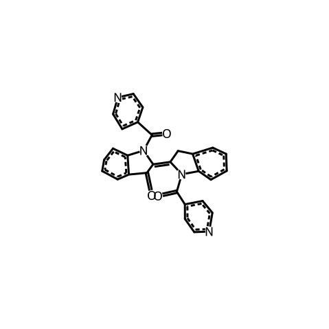 O=C1/C(=C2/Cc3ccccc3N2C(=O)c2ccncc2)N(C(=O)c2ccncc2)c2ccccc21